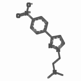 CN(C)CCn1ccc(-c2ccc([N+](=O)[O-])cc2)n1